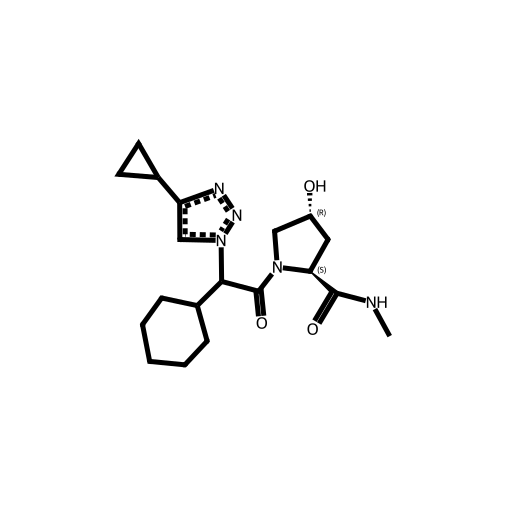 CNC(=O)[C@@H]1C[C@@H](O)CN1C(=O)C(C1CCCCC1)n1cc(C2CC2)nn1